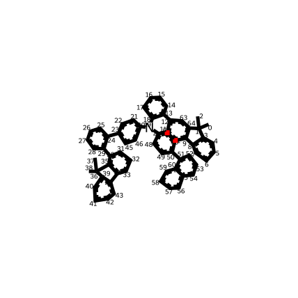 CC1(C)c2ccccc2-c2ccc(-c3ccccc3N(c3ccc(-c4ccccc4-c4cccc5c4C(C)(C)c4ccccc4-5)cc3)c3ccc(-c4cccc5ccccc45)cc3)cc21